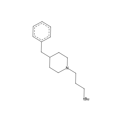 CC(C)(C)CCCN1CCC(Cc2ccccc2)CC1